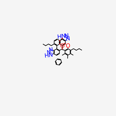 CCCCc1ccc(C)c(OC)c1-c1c(Cc2ccc3[nH]nnc3c2Oc2c(C)c(C)c(C)c(C)c2CCCC)ccc2[nH]nnc12.c1ccccc1